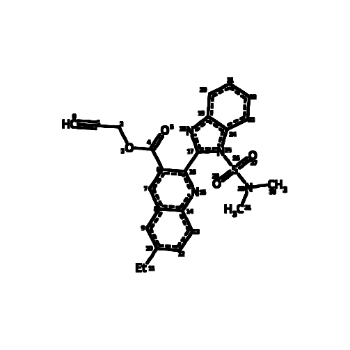 C#CCOC(=O)c1cc2cc(CC)ccc2nc1-c1nc2ccccc2n1S(=O)(=O)N(C)C